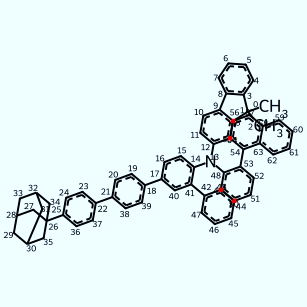 CC1(C)c2ccccc2-c2ccc(N(c3ccc(-c4ccc(-c5ccc(C67CC8CC(CC(C8)C6)C7)cc5)cc4)cc3-c3ccccc3)c3ccccc3-c3cccc4ccccc34)cc21